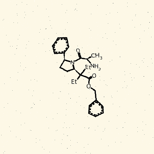 CCC(CC)(C(=O)OCc1ccccc1)[C@H]1CC[C@@H](c2ccccc2)N1C(=O)[C@@H](C)N